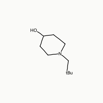 CC(C)(C)CN1CCC(O)CC1